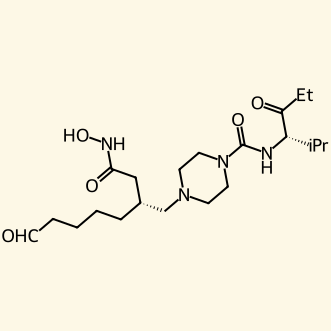 CCC(=O)[C@@H](NC(=O)N1CCN(C[C@H](CCCCC=O)CC(=O)NO)CC1)C(C)C